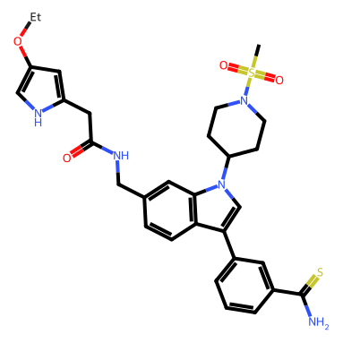 CCOc1c[nH]c(CC(=O)NCc2ccc3c(-c4cccc(C(N)=S)c4)cn(C4CCN(S(C)(=O)=O)CC4)c3c2)c1